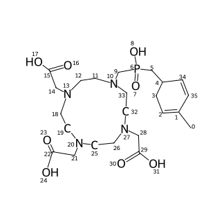 CC1=CCC(CP(=O)(O)CN2CCN(CC(=O)O)CCN(CC(=O)O)CCN(CC(=O)O)CC2)C=C1